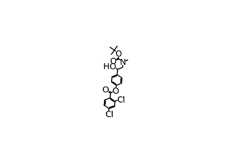 CN(CC(O)c1ccc(OC(=O)c2ccc(Cl)cc2Cl)cc1)C(=O)OC(C)(C)C